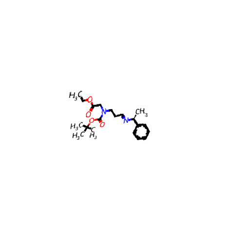 CCOC(=O)CN(CCC=N[C@@H](C)c1ccccc1)C(=O)OC(C)(C)C